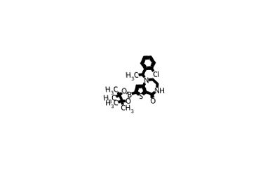 CC(c1ccccc1Cl)N1CCNC(=O)c2sc(B3OC(C)(C)C(C)(C)O3)cc21